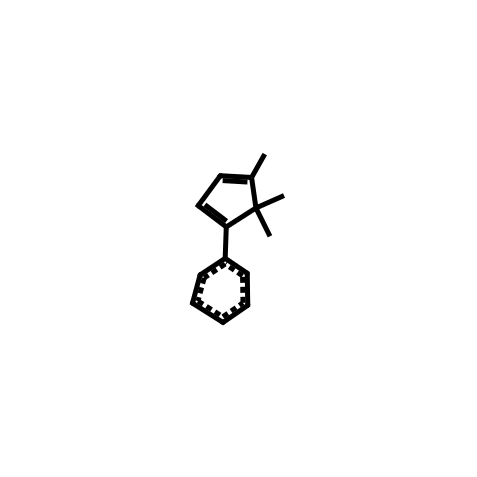 CC1=CC=C(c2ccccc2)C1(C)C